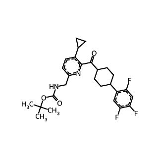 CC(C)(C)OC(=O)NCc1ccc(C2CC2)c(C(=O)C2CCC(c3cc(F)c(F)cc3F)CC2)n1